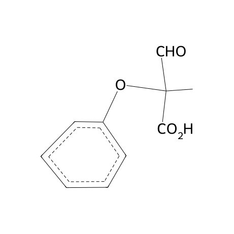 CC(C=O)(Oc1ccccc1)C(=O)O